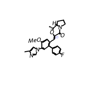 COc1cc(/C=C2\O[C@@H](C)[C@H]3CCCN3C2=O)c(-c2ccc(F)cc2)cc1-n1cnc(C)c1